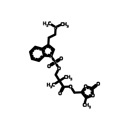 Cc1oc(=O)oc1COC(=O)C(C)(C)COS(=O)(=O)n1cc(CCN(C)C)c2ccccc21